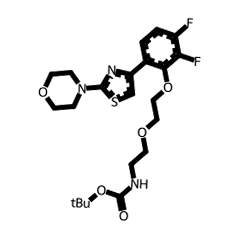 CC(C)(C)OC(=O)NCCOCCOc1c(-c2csc(N3CCOCC3)n2)ccc(F)c1F